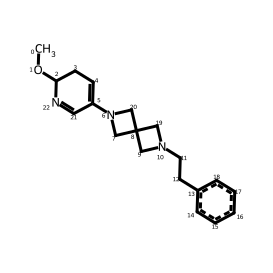 COC1CC=C(N2CC3(CN(CCc4ccccc4)C3)C2)C=N1